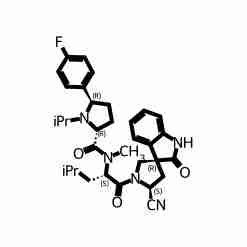 CC(C)C[C@@H](C(=O)N1C[C@]2(C[C@H]1C#N)C(=O)Nc1ccccc12)N(C)C(=O)[C@H]1CC[C@H](c2ccc(F)cc2)N1C(C)C